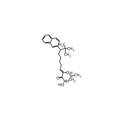 C[SiH](C)OC(=CCCCCC(c1ccc2ccccc2c1)C(C)(C)C)C(=O)NO